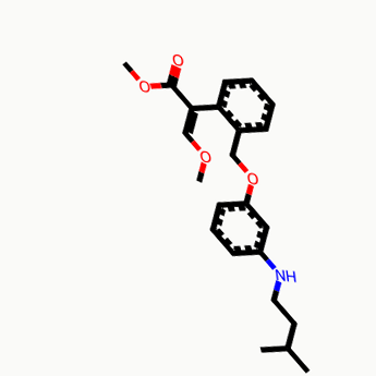 CO/C=C(/C(=O)OC)c1ccccc1COc1cccc(NCCC(C)C)c1